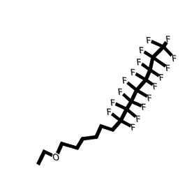 CCOCCCCCCC(F)(F)C(F)(F)C(F)(F)C(F)(F)C(F)(F)C(F)(F)C(F)(F)C(F)(F)F